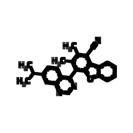 Cc1c(C)c(C#N)c2c(oc3ccccc32)c1-c1ncnc2cc(C(C)C)ccc12